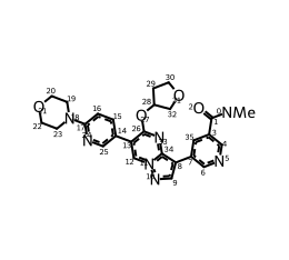 CNC(=O)c1cncc(-c2cnn3cc(-c4ccc(N5CCOCC5)nc4)c(OC4CCOC4)nc23)c1